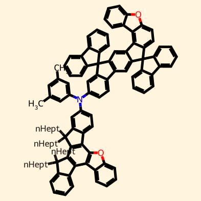 CCCCCCCC1(CCCCCCC)c2cc(N(c3cc(C)cc(C)c3)c3ccc4c(c3)C3(c5ccccc5-c5ccccc53)c3cc5c(cc3-4)C3(c4ccccc4-c4ccccc43)c3ccc4oc6ccccc6c4c3-5)ccc2-c2c1c1c(c3c2oc2ccccc23)-c2ccccc2C1(CCCCCCC)CCCCCCC